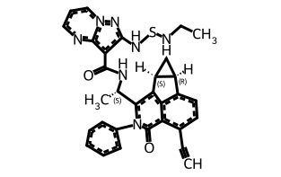 C#Cc1ccc2c3c(c([C@H](C)NC(=O)c4c(NSNCC)nn5cccnc45)n(-c4ccccc4)c(=O)c13)[C@H]1C[C@@H]21